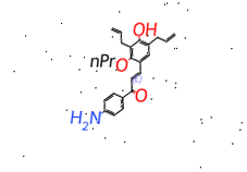 C=CCc1cc(/C=C/C(=O)c2ccc(N)cc2)c(OCCC)c(CC=C)c1O